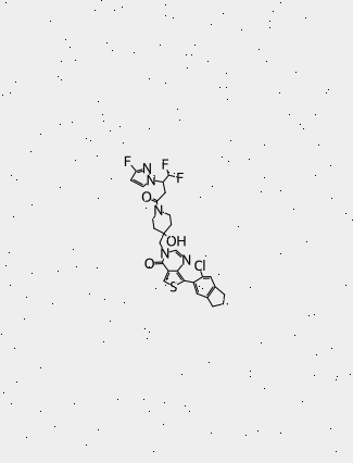 O=C(CC(C(F)F)n1ccc(F)n1)N1CCC(O)(Cn2cnc3c(-c4cc5c(cc4Cl)C[CH]C5)scc3c2=O)CC1